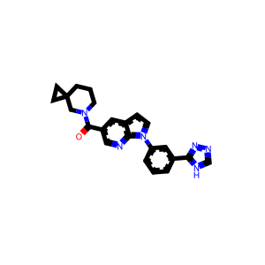 O=C(c1cnc2c(ccn2-c2cccc(-c3nnc[nH]3)c2)c1)N1CCCC2(CC2)C1